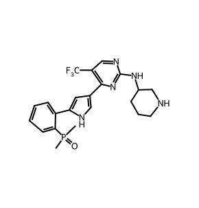 CP(C)(=O)c1ccccc1-c1cc(-c2nc(NC3CCCNC3)ncc2C(F)(F)F)c[nH]1